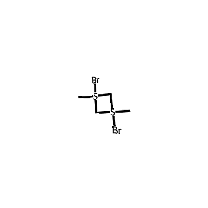 CS1(Br)CS(C)(Br)C1